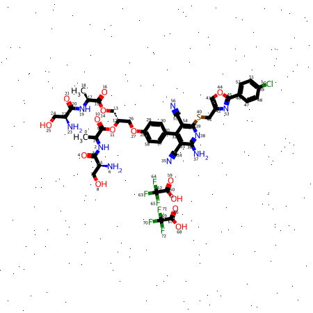 CC(NC(=O)[C@@H](N)CO)C(=O)O[C@H](COC(=O)[C@H](C)NC(=O)[C@@H](N)CO)COc1ccc(-c2c(C#N)c(N)nc(SCc3coc(-c4ccc(Cl)cc4)n3)c2C#N)cc1.O=C(O)C(F)(F)F.O=C(O)C(F)(F)F